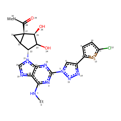 CCNc1nc(-n2cc(-c3ccc(Cl)s3)nn2)nc2c1ncn2[C@H]1C(O)[C@H](O)[C@@]2(C(=O)NC)CC12